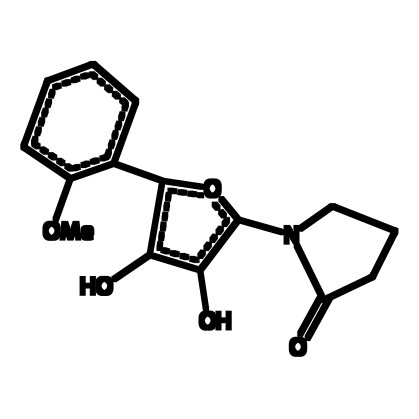 COc1ccccc1-c1oc(N2CCCC2=O)c(O)c1O